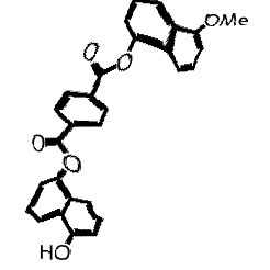 COc1cccc2c(OC(=O)c3ccc(C(=O)Oc4cccc5c(O)cccc45)cc3)cccc12